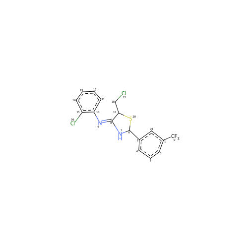 FC(F)(F)c1cccc(C2NC(=Nc3ccccc3Cl)C(CCl)S2)c1